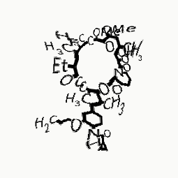 C=CCOC1CC(C=C(C)C2OC(=O)C3CCCCN3C(=O)C(=O)C3(O)OC(C(OC)CC(C)C(F)/C(C)=C/C(CC)C(=O)CCC2C)C(OC)CC3C)CCC1NC(=O)C1CC1